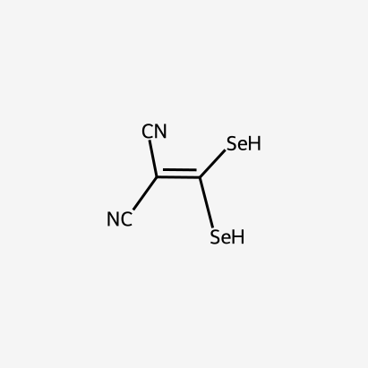 N#CC(C#N)=C([SeH])[SeH]